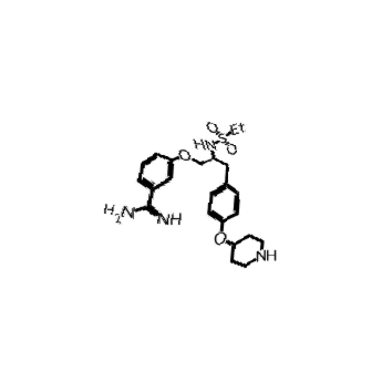 CCS(=O)(=O)N[C@H](COc1cccc(C(=N)N)c1)Cc1ccc(OC2CCNCC2)cc1